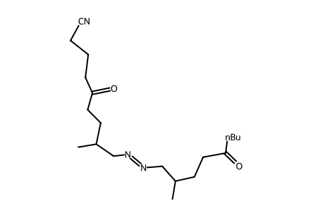 CCCCC(=O)CCC(C)CN=NCC(C)CCC(=O)CCCC#N